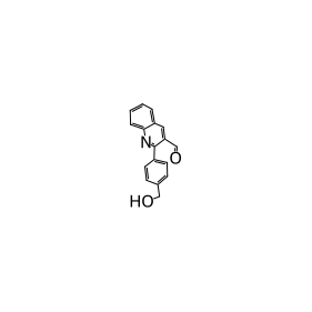 O=Cc1cc2ccccc2nc1-c1ccc(CO)cc1